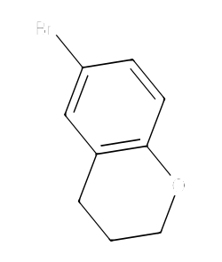 Brc1ccc2c(c1)CCCO2